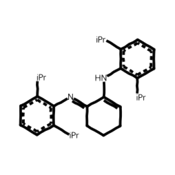 CC(C)c1cccc(C(C)C)c1/N=C1\CCCC=C1Nc1c(C(C)C)cccc1C(C)C